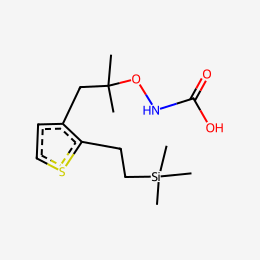 CC(C)(Cc1ccsc1CC[Si](C)(C)C)ONC(=O)O